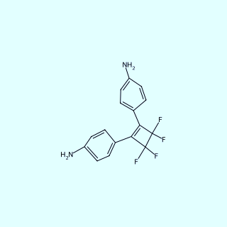 Nc1ccc(C2=C(c3ccc(N)cc3)C(F)(F)C2(F)F)cc1